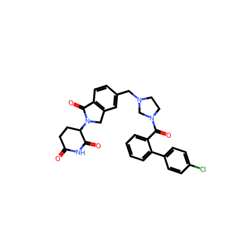 O=C1CCC(N2Cc3cc(CN4CCN(C(=O)c5ccccc5-c5ccc(Cl)cc5)C4)ccc3C2=O)C(=O)N1